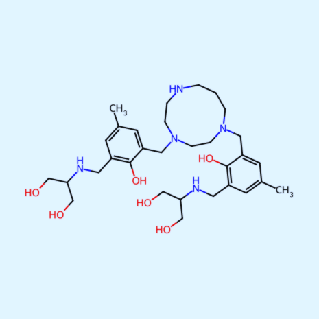 Cc1cc(CNC(CO)CO)c(O)c(CN2CCCNCCN(Cc3cc(C)cc(CNC(CO)CO)c3O)CC2)c1